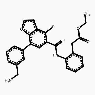 CCOC(=O)Cc1ccccc1NC(=O)c1cc(-c2ccnc(CN)c2)c2occc2c1F